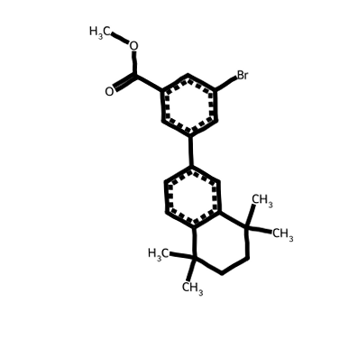 COC(=O)c1cc(Br)cc(-c2ccc3c(c2)C(C)(C)CCC3(C)C)c1